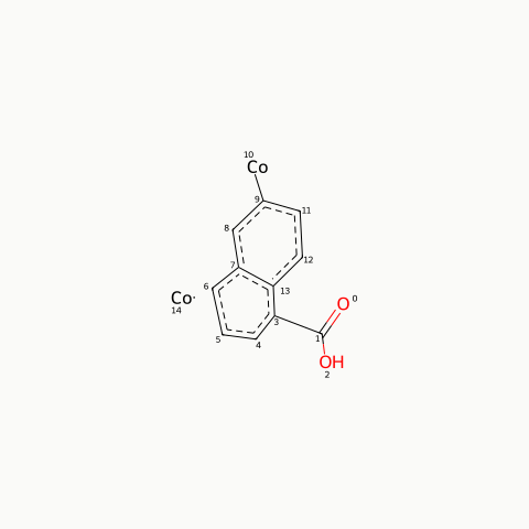 O=C(O)c1cccc2c[c]([Co])ccc12.[Co]